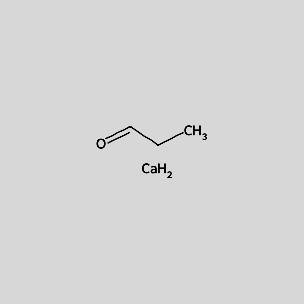 CCC=O.[CaH2]